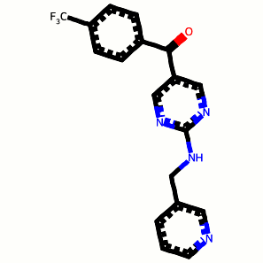 O=C(c1ccc(C(F)(F)F)cc1)c1cnc(NCc2cccnc2)nc1